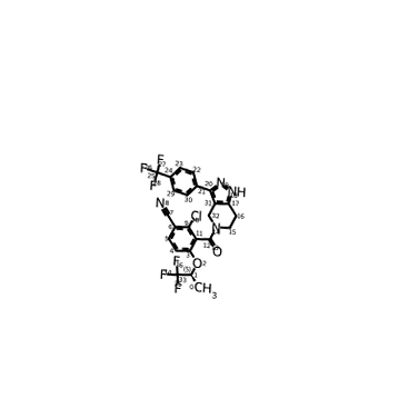 C[C@H](Oc1ccc(C#N)c(Cl)c1C(=O)N1CCc2[nH]nc(-c3ccc(C(F)(F)F)cc3)c2C1)C(F)(F)F